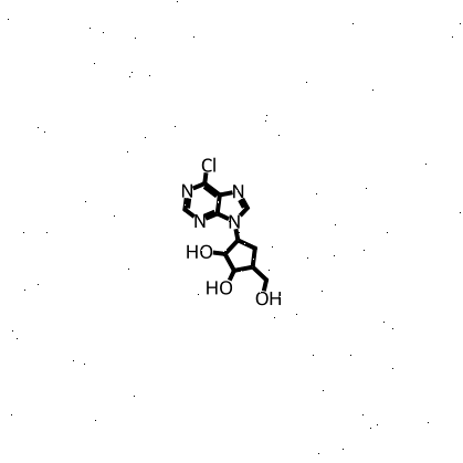 OCC1CC(n2cnc3c(Cl)ncnc32)C(O)C1O